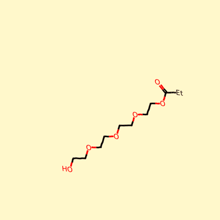 CCC(=O)OCCOCCOCCOCCO